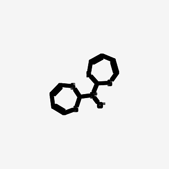 [O-][S+](C1SC=CC=CS1)C1SC=CC=CS1